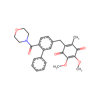 COC1=C(OC)C(=O)C(Cc2ccc(C(=O)N3CCOCC3)c(-c3ccccc3)c2)=C(C)C1=O